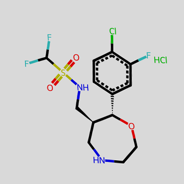 Cl.O=S(=O)(NC[C@@H]1CNCCO[C@H]1c1ccc(Cl)c(F)c1)C(F)F